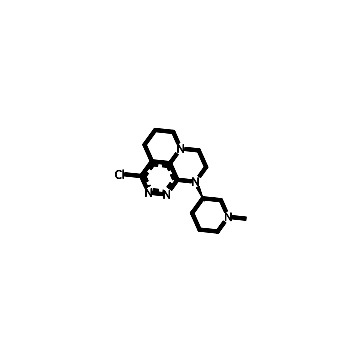 CN1CCC[C@@H](N2CCN3CCCc4c(Cl)nnc2c43)C1